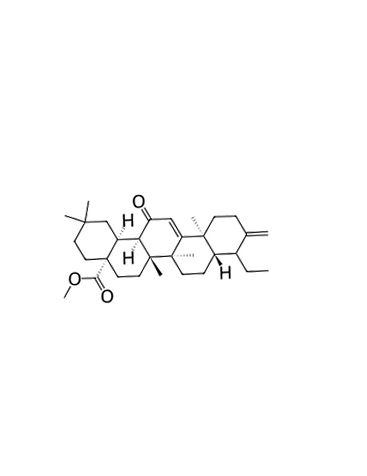 C=C1CC[C@]2(C)C3=CC(=O)[C@@H]4[C@@H]5CC(C)(C)CC[C@]5(C(=O)OC)CC[C@@]4(C)[C@]3(C)CC[C@H]2C1CC